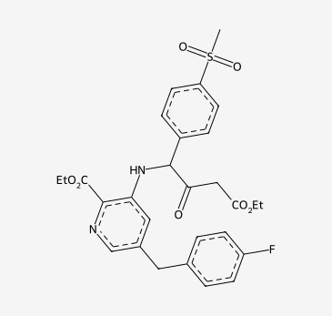 CCOC(=O)CC(=O)C(Nc1cc(Cc2ccc(F)cc2)cnc1C(=O)OCC)c1ccc(S(C)(=O)=O)cc1